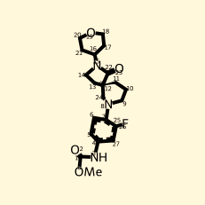 COC(=O)Nc1ccc(N2CCC[C@]3(CCN(C4CCOCC4)C3=O)C2)c(F)c1